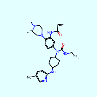 C=CC(=O)Nc1cc(N(C(=O)NCC(F)(F)F)C2CCC(Nc3ccc(C#N)cn3)CC2)ccc1N1CCN(C)[C@@H](C)C1